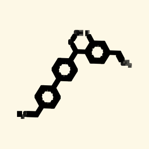 C=Cc1ccc(-c2ccc(C(OO)c3ccc(C=C)cc3F)cc2)cc1